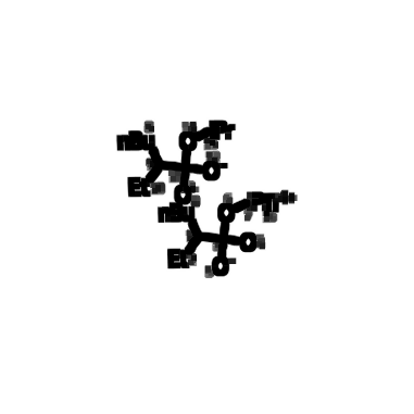 CCCCC(CC)C([O-])([O-])OC(C)C.CCCCC(CC)C([O-])([O-])OC(C)C.[Ti+4]